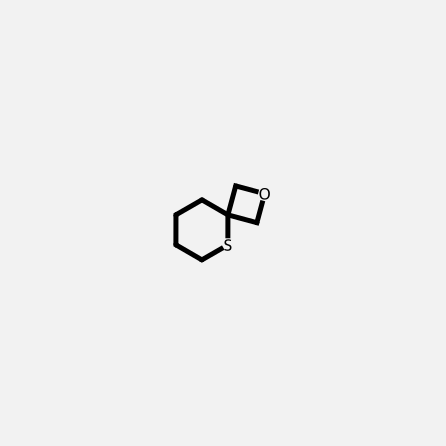 C1CCC2(COC2)SC1